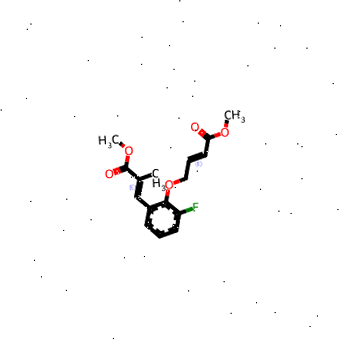 COC(=O)/C=C/COc1c(F)cccc1/C=C(\C)C(=O)OC